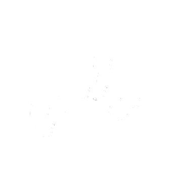 c1ccc(-c2nc(-c3ccc(-c4cccc5cccnc45)cc3)nc(-c3cccc4ccccc34)n2)cc1